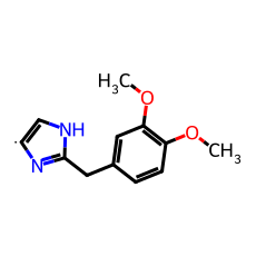 COc1ccc(Cc2n[c]c[nH]2)cc1OC